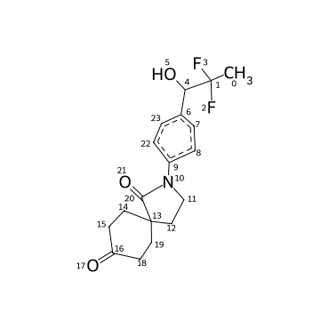 CC(F)(F)C(O)c1ccc(N2CCC3(CCC(=O)CC3)C2=O)cc1